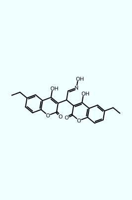 CCc1ccc2oc(=O)c(C(/C=N/O)c3c(O)c4cc(CC)ccc4oc3=O)c(O)c2c1